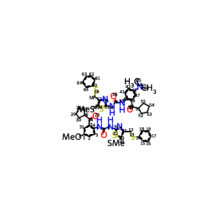 COc1ccc(NC(=O)Nc2nc(CSc3ccccc3)c(SC)s2)c(C(=O)C2CCCC2)c1.CSc1sc(NC(=O)Nc2ccc(N(C)C)cc2C(=O)C2CCCC2)nc1CSc1ccccc1